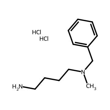 CN(CCCCN)Cc1ccccc1.Cl.Cl